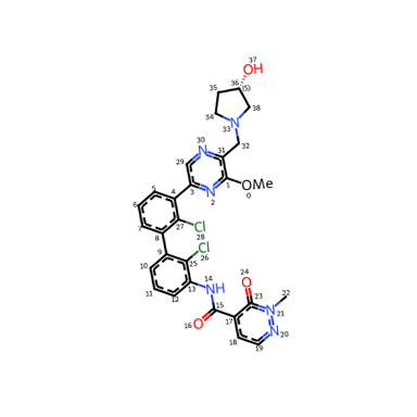 COc1nc(-c2cccc(-c3cccc(NC(=O)c4ccnn(C)c4=O)c3Cl)c2Cl)cnc1CN1CC[C@H](O)C1